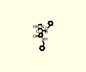 O=C(OCc1ccccc1)C(c1cc(Cl)cc(NCCc2ccccc2)c1)c1ncc[nH]c1=O